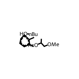 CCCCO.COCC(C)OC(C)=O.Cc1ccccc1C